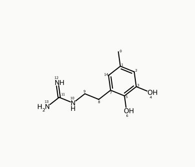 Cc1cc(O)c(O)c(CCNC(=N)N)c1